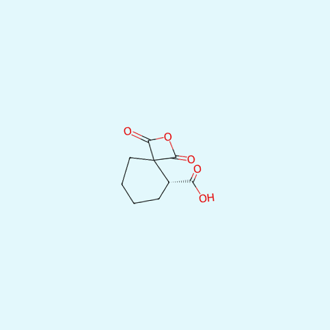 O=C(O)[C@@H]1CCCCC12C(=O)OC2=O